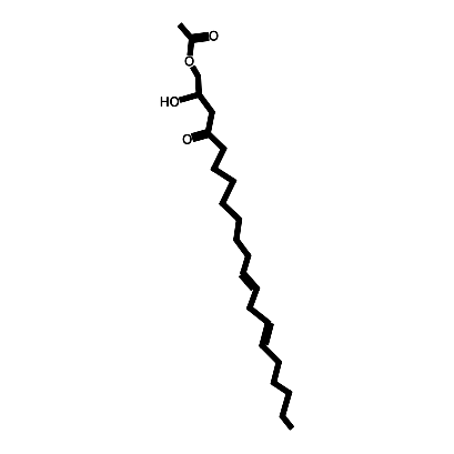 CCCCCC=CCC=CCCCCCCCC(=O)CC(O)COC(C)=O